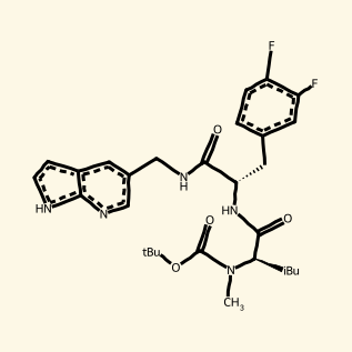 CCC(C)[C@H](C(=O)N[C@@H](Cc1ccc(F)c(F)c1)C(=O)NCc1cnc2[nH]ccc2c1)N(C)C(=O)OC(C)(C)C